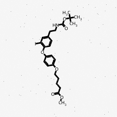 COC(=O)CCCCOc1ccc(Oc2ccc(CCNC(=O)OC(C)(C)C)cc2I)cc1